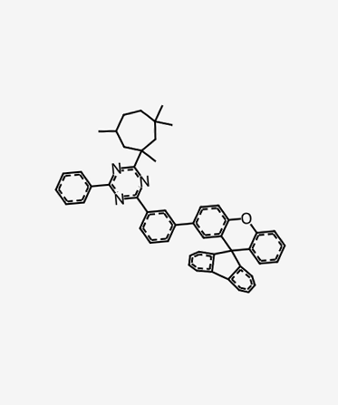 CC1CCC(C)(C)CC(C)(c2nc(-c3ccccc3)nc(-c3cccc(-c4ccc5c(c4)C4(c6ccccc6O5)c5ccccc5-c5ccccc54)c3)n2)C1